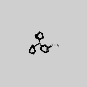 Cc1cccc(P(c2ccccc2)c2ccccc2)c1